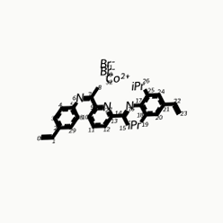 C=Cc1ccc(N=C(C)c2cccc(C(C)=Nc3c(C(C)C)cc(C=C)cc3C(C)C)n2)cc1.[Br-].[Br-].[Co+2]